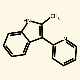 Cc1[nH]c2ccccc2c1-c1ccccn1